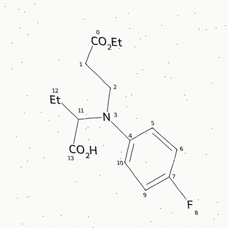 CCOC(=O)CCN(c1ccc(F)cc1)C(CC)C(=O)O